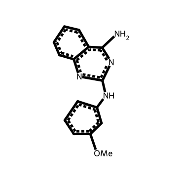 COc1cccc(Nc2nc(N)c3ccccc3n2)c1